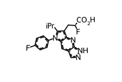 CC(C)c1c(C[C@H](F)C(=O)O)c2nc3[nH]ncc3cc2n1-c1ccc(F)cc1